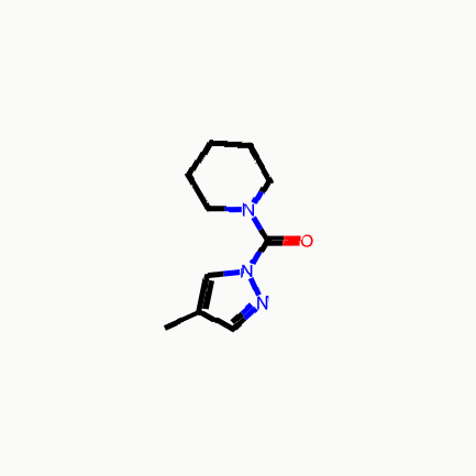 Cc1cnn(C(=O)N2CCCCC2)c1